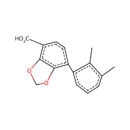 Cc1cccc(-c2ccc(C(=O)O)c3c2OCO3)c1C